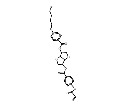 C=CC(=O)Oc1ccc(C(=O)OC2COC3C(OC(=O)c4ccc(OCCCCBr)cc4)COC23)cc1